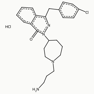 Cl.NCCCN1CCCC(n2nc(Cc3ccc(Cl)cc3)c3ccccc3c2=O)CC1